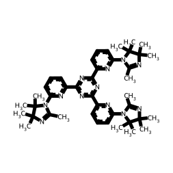 CC1=NC(C)(C)C(C)(C)N1c1cccc(-c2nc(-c3cccc(N4C(C)=NC(C)(C)C4(C)C)n3)nc(-c3cccc(N4C(C)=NC(C)(C)C4(C)C)n3)n2)n1